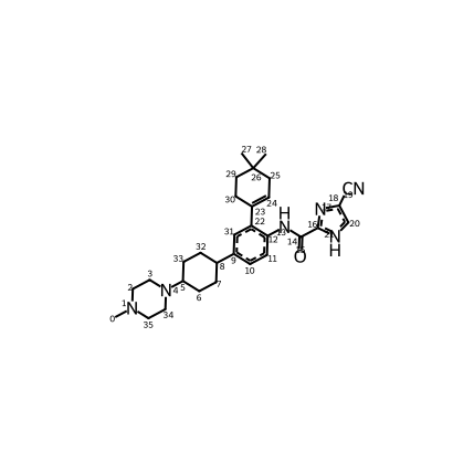 CN1CCN(C2CCC(c3ccc(NC(=O)c4nc(C#N)c[nH]4)c(C4=CCC(C)(C)CC4)c3)CC2)CC1